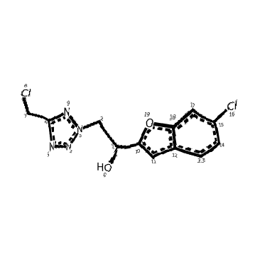 O[C@@H](Cn1nnc(CCl)n1)c1cc2ccc(Cl)cc2o1